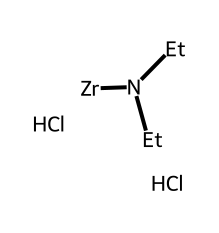 CC[N]([Zr])CC.Cl.Cl